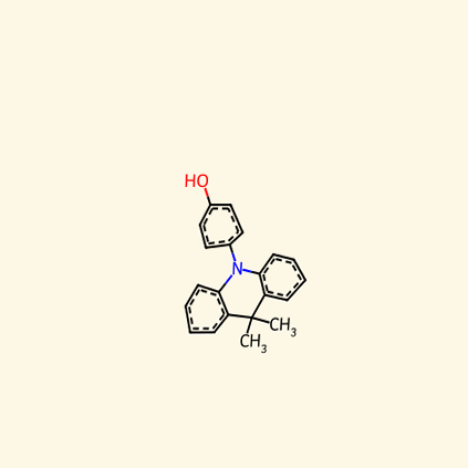 CC1(C)c2ccccc2N(c2ccc(O)cc2)c2ccccc21